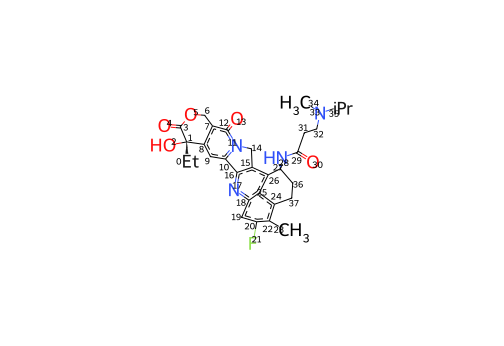 CC[C@@]1(O)C(=O)OCc2c1cc1n(c2=O)Cc2c-1nc1cc(F)c(C)c3c1c2[C@@H](NC(=O)CCN(C)C(C)C)CC3